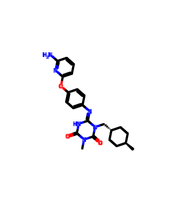 Cn1c(=O)[nH]/c(=N\c2ccc(Oc3cccc(N)n3)cc2)n(C[C@H]2CC[C@H](C)CC2)c1=O